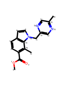 COC(=O)c1ccc2ccn(Cc3cnc(C)cn3)c2c1C